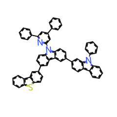 c1ccc(-c2cc(-c3ccccc3)nc(-n3c4ccc(-c5ccc6sc7ccccc7c6c5)cc4c4cc(-c5ccc6c7ccccc7n(-c7ccccc7)c6c5)ccc43)c2)cc1